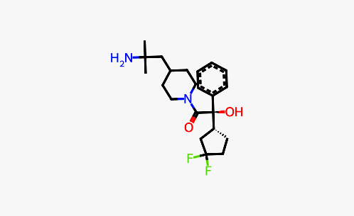 CC(C)(N)CC1CCN(C(=O)[C@](O)(c2ccccc2)[C@@H]2CCC(F)(F)C2)CC1